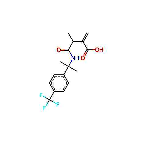 C=C(C(=O)O)C(C)C(=O)NC(C)(C)c1ccc(C(F)(F)F)cc1